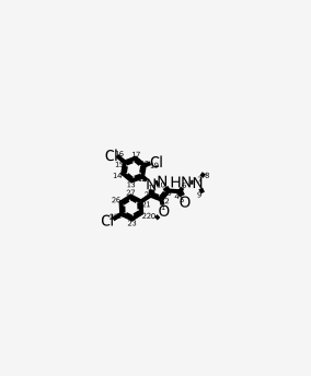 COc1c(C(=O)NN(C)C)nn(-c2ccc(Cl)cc2Cl)c1-c1ccc(Cl)cc1